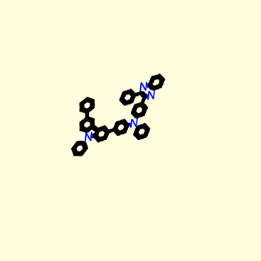 c1ccc(-c2ccc3c(c2)c2cc(-c4ccc(N(c5ccccc5)c5ccc(-c6nc7ccccc7nc6-c6ccccc6)cc5)cc4)ccc2n3-c2ccccc2)cc1